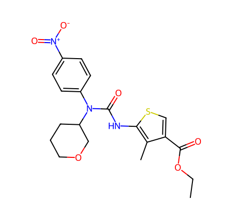 CCOC(=O)c1csc(NC(=O)N(c2ccc([N+](=O)[O-])cc2)C2CCCOC2)c1C